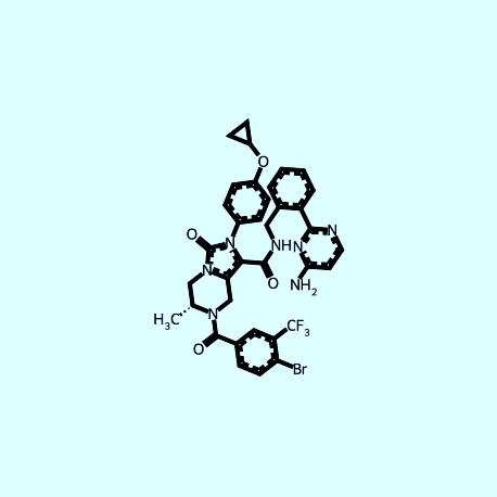 C[C@@H]1Cn2c(c(C(=O)NCc3ccccc3-c3nccc(N)n3)n(-c3ccc(OC4CC4)cc3)c2=O)CN1C(=O)c1ccc(Br)c(C(F)(F)F)c1